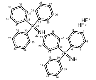 F.F.N=P(c1ccccc1)(c1ccccc1)c1ccccc1.N=P(c1ccccc1)(c1ccccc1)c1ccccc1